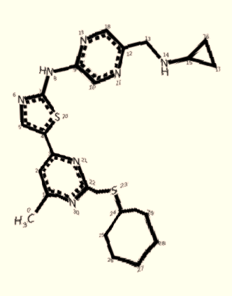 Cc1cc(-c2cnc(Nc3cnc(CNC4CC4)cn3)s2)nc(SC2CCCCC2)n1